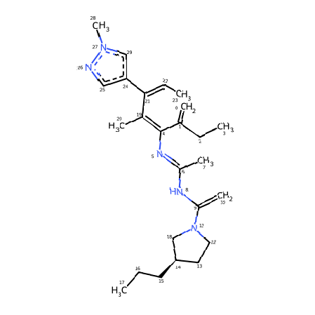 C=C(CC)C(/N=C(\C)NC(=C)N1CC[C@@H](CCC)C1)=C(C)\C(=C/C)c1cnn(C)c1